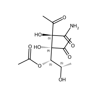 CC(=O)O[C@@H]([C@H](C)O)[C@](O)(C(C)=O)[C@](O)(C(C)=O)C(N)=O